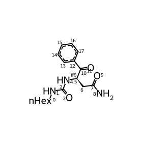 CCCCCCNC(=O)N[C@H](CC(N)=O)C(=O)c1ccccc1